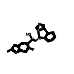 Cc1cc2cc([C@@H](O)C[C@H]3c4ccccc4-c4cncn43)c(F)cc2o1